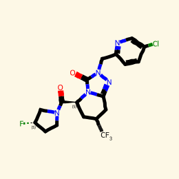 O=C([C@@H]1CC(C(F)(F)F)Cc2nn(Cc3ccc(Cl)cn3)c(=O)n21)N1CC[C@H](F)C1